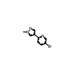 Cn1cc(-c2ccc(Br)cn2)cn1